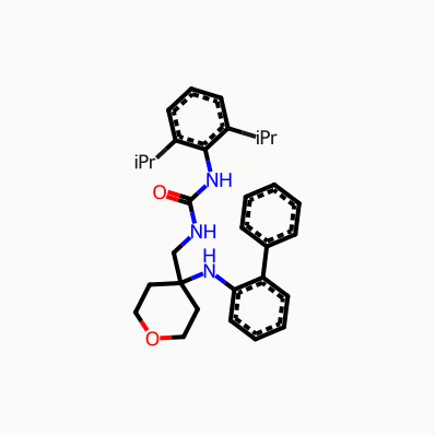 CC(C)c1cccc(C(C)C)c1NC(=O)NCC1(Nc2ccccc2-c2ccccc2)CCOCC1